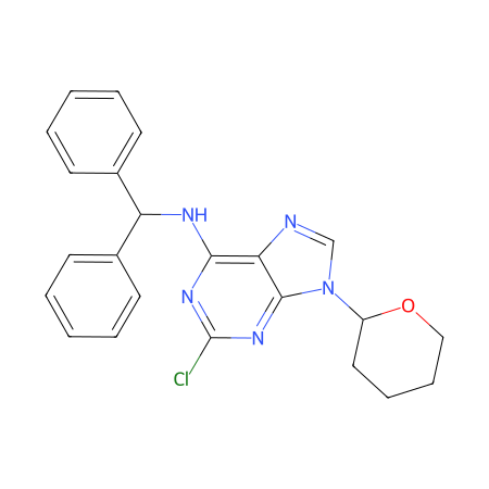 Clc1nc(NC(c2ccccc2)c2ccccc2)c2ncn(C3CCCCO3)c2n1